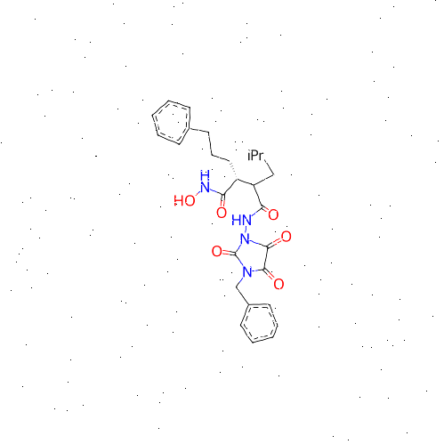 CC(C)CC(C(=O)NN1C(=O)C(=O)N(Cc2ccccc2)C1=O)[C@@H](CCCc1ccccc1)C(=O)NO